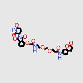 O=C(C=COCCOCCNC(=O)COc1cccc2c1C(=O)N(C1CCC(=O)NC1=O)C2=O)Nc1ccc2ccc(=O)oc2c1